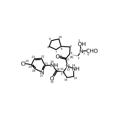 O=CN(O)C[C@@H](CC1CCCC1)C(=O)N1NCC[C@H]1C(=O)Nc1ccc(Cl)cn1